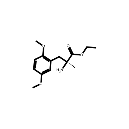 CCOC(=O)[C@@](C)(N)Cc1cc(OC)ccc1OC